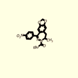 CC1Cc2cc3c(cc2C(c2ccc([N+](=O)[O-])cc2)=NN1C(=O)C(C)(C)C)OCO3